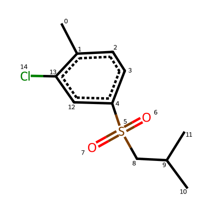 Cc1ccc(S(=O)(=O)CC(C)C)cc1Cl